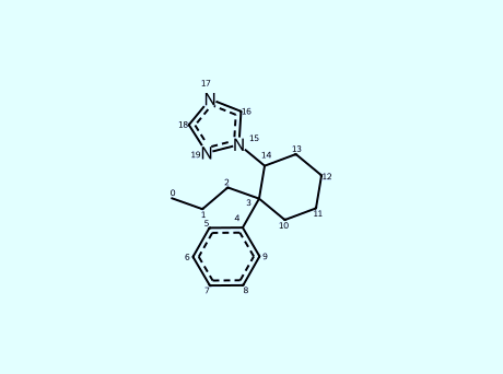 CCCC1(c2ccccc2)CCCCC1n1cncn1